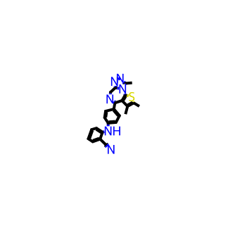 Cc1sc2c(c1C)C(c1ccc(Nc3ccccc3C#N)cc1)=NCc1nnc(C)n1-2